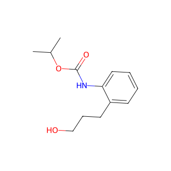 CC(C)OC(=O)Nc1ccccc1CCCO